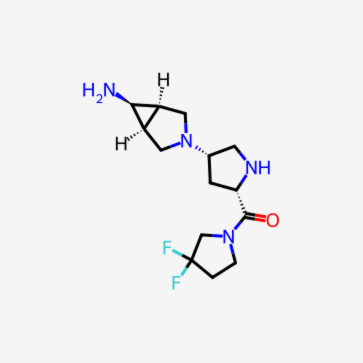 N[C@H]1[C@H]2CN([C@@H]3CN[C@H](C(=O)N4CCC(F)(F)C4)C3)C[C@@H]12